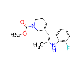 Cc1[nH]c2c(F)cccc2c1C1=CCCN(C(=O)OC(C)(C)C)C1